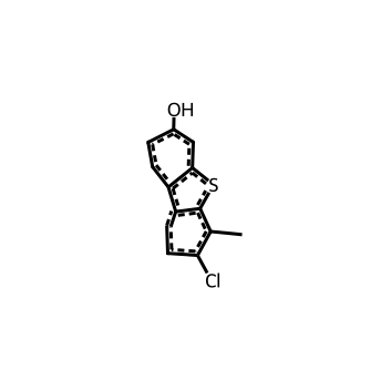 Cc1c(Cl)ccc2c1sc1cc(O)ccc12